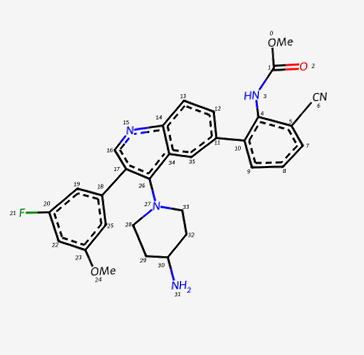 COC(=O)Nc1c(C#N)cccc1-c1ccc2ncc(-c3cc(F)cc(OC)c3)c(N3CCC(N)CC3)c2c1